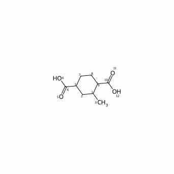 CC1CC(C(=O)O)CC[C]1C(=O)O